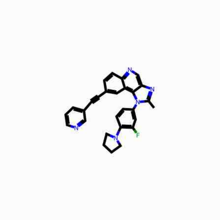 Cc1nc2cnc3ccc(C#Cc4cccnc4)cc3c2n1-c1ccc(N2CCCC2)c(F)c1